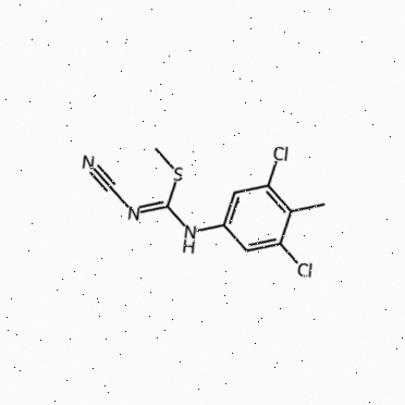 CS/C(=N\C#N)Nc1cc(Cl)c(C)c(Cl)c1